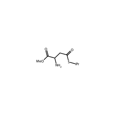 COC(=O)C(N)CC(=O)SC(C)C